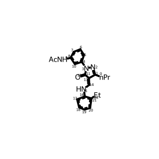 CCCC1=NN(c2cccc(NC(C)=O)c2)C(=O)C1=CNc1ccccc1CC